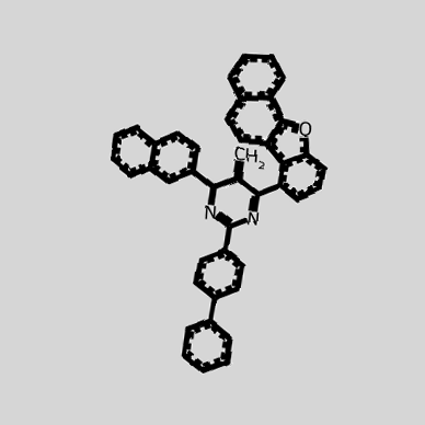 C=C1C(c2cccc3oc4c5ccccc5ccc4c23)=NC(c2ccc(-c3ccccc3)cc2)=NC1c1ccc2ccccc2c1